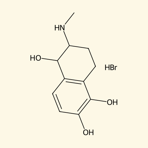 Br.CNC1CCc2c(ccc(O)c2O)C1O